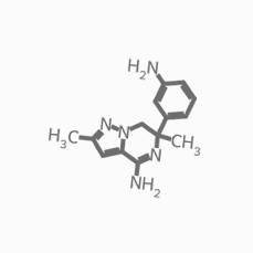 Cc1cc2n(n1)CC(C)(c1cccc(N)c1)N=C2N